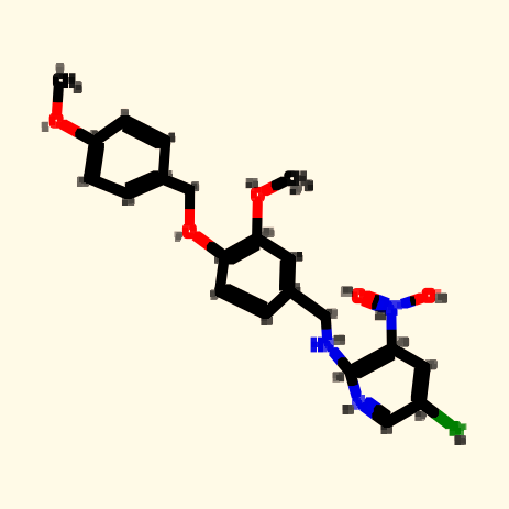 COc1ccc(COc2ccc(CNc3ncc(Br)cc3[N+](=O)[O-])cc2OC)cc1